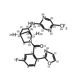 O=C(c1cc(F)ccc1-c1ncco1)N1C[C@H]2C[C@@H](Nc3cnc(C(F)(F)F)cn3)[C@@H]1C2